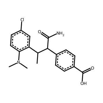 CC(c1cc(Cl)ccc1N(C)C)C(C(N)=O)c1ccc(C(=O)O)cc1